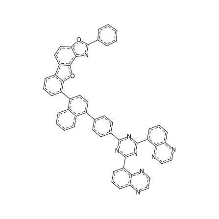 c1ccc(-c2nc3c(ccc4c5cccc(-c6ccc(-c7ccc(-c8nc(-c9cccc%10nccnc9%10)nc(-c9cccc%10nccnc9%10)n8)cc7)c7ccccc67)c5oc43)o2)cc1